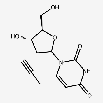 C#CC.O=c1ccn(C2C[C@H](O)[C@@H](CO)O2)c(=O)[nH]1